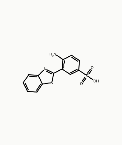 Nc1ccc(S(=O)(=O)O)cc1-c1nc2ccccc2s1